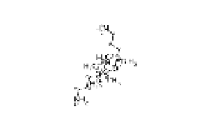 C[Si](C)(CCCN)O[Si](C)(C)[Si](C)(C)CCCN